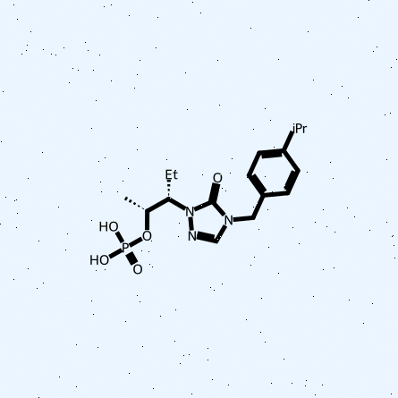 CC[C@@H]([C@@H](C)OP(=O)(O)O)n1ncn(Cc2ccc(C(C)C)cc2)c1=O